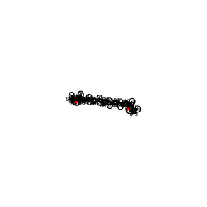 CC1=C(C)C(=O)N(CN2C(=O)c3ccc(C(=O)Oc4ccc(C(=O)Oc5ccc(OC(=O)c6ccc(OC(=O)c7ccc8c(c7)C(=O)N(CN7C(=O)C(C)=C(C)C7=O)C8=O)cc6)c(C)c5)cc4)cc3C2=O)C1=O